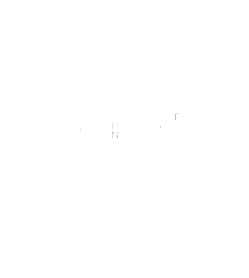 CC(C)(C)CNC(=O)C1CC1(F)F